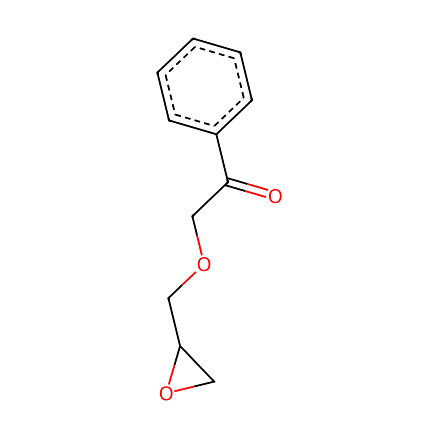 O=C(COCC1CO1)c1ccccc1